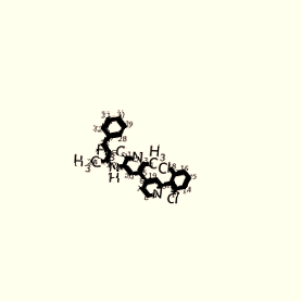 Cc1nc(C)c(-c2ccnc(-c3c(Cl)cccc3Cl)c2)[c]c1NC(C)CCc1ccccc1